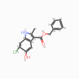 Cc1[nH]c2cc(Cl)c(O)cc2c1C(=O)OCc1ccccc1